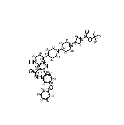 CC(C)(C)OC(=O)N1CC(N2CCC(N3CCC([C@@H]4CCNc5c(C(N)=O)c(-c6ccc(Oc7ccccc7)cc6)nn54)CC3)CC2)C1